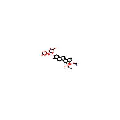 C/C=C(/C)C(=O)O[C@H]1[C@H](OC(=O)C(C)CC)[C@]2(CO)[C@H](OC(C)=O)C[C@]3(C)C(=CCC4[C@@]5(C)CCC(OC6OC(C(=O)O)C(O)C(OC7OCC(O)C(O)C7O)C6O)[C@@](C)(CO)C5CC[C@]43C)[C@@H]2CC1(C)C